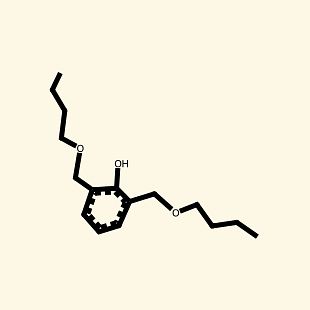 CCCCOCc1cccc(COCCCC)c1O